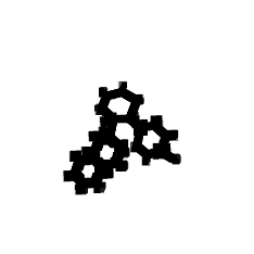 CN1CCN(C2CCCC[C]2c2cc3ccccc3cn2)CC1